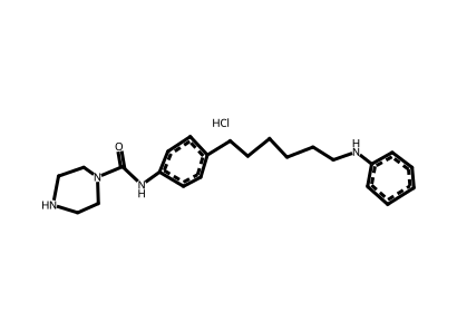 Cl.O=C(Nc1ccc(CCCCCCNc2ccccc2)cc1)N1CCNCC1